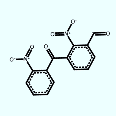 O=[C]c1cccc(C(=O)c2ccccc2[N+](=O)[O-])c1[N+](=O)[O-]